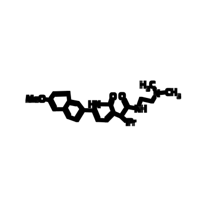 COc1ccc2cc(-c3ccc(C(C(=O)NCCN(C)C)C(C)C)c(=O)[nH]3)ccc2c1